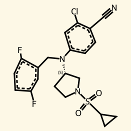 N#Cc1ccc(N(Cc2cc(F)ccc2F)[C@H]2CCN(S(=O)(=O)C3CC3)C2)cc1Cl